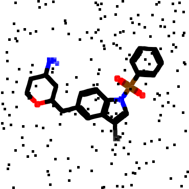 CCc1cn(S(=O)(=O)c2ccccc2)c2ccc(CC3CC(N)CCO3)cc12